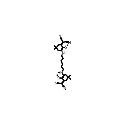 CSC1=C(NCCCCCCNC2=C(SC)C(=C(C#N)C#N)CC(C)(C)C2)CC(C)(C)CC1=C(C#N)C#N